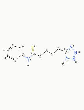 CN(C(=S)CCCCc1nnnn1C)c1ccccc1